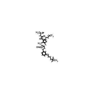 Cc1c(C[C@H](CCc2cccc(OCCCC(C)(F)F)c2)NC=O)nn(CCOC(F)(F)F)c1NC(=O)C[S+](C)[O-]